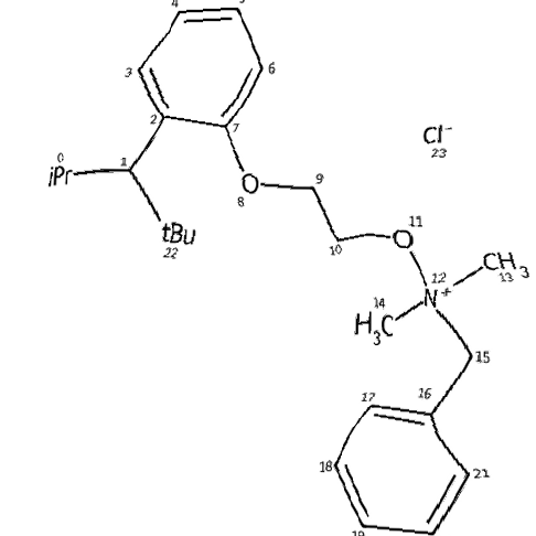 CC(C)C(c1ccccc1OCCO[N+](C)(C)Cc1ccccc1)C(C)(C)C.[Cl-]